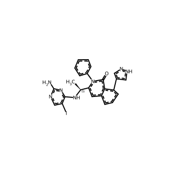 C[C@H](Nc1nc(N)ncc1I)c1cc2cccc(-c3cn[nH]c3)c2c(=O)n1-c1ccccc1